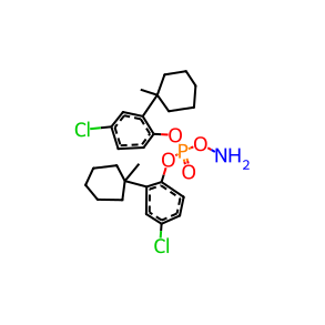 CC1(c2cc(Cl)ccc2OP(=O)(ON)Oc2ccc(Cl)cc2C2(C)CCCCC2)CCCCC1